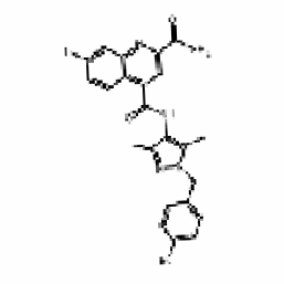 CCc1ccc(Cn2nc(C)c(NC(=O)c3cc(C(N)=O)nc4cc(F)ccc34)c2C)cc1